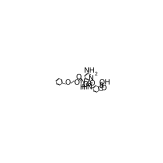 Nc1cnc(S(=O)(=O)Nc2ccc3c(c2)B(O)OC3)c(NC(=O)OCCOCc2ccccc2)c1